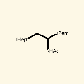 CCCCCCCCC(CCCCC)NC(C)=O